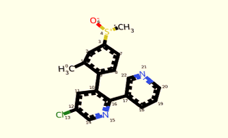 Cc1cc([S+](C)[O-])ccc1-c1cc(Cl)cnc1-c1cccnc1